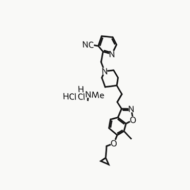 CNC.Cc1c(OCC2CC2)ccc2c(CCC3CCN(Cc4ncccc4C#N)CC3)noc12.Cl.Cl